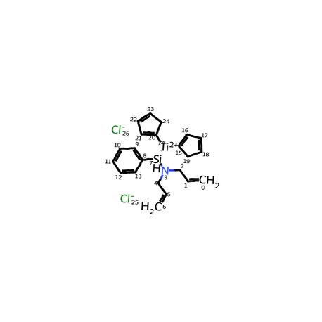 C=CCN(CC=C)[SiH](c1ccccc1)[Ti+2]([C]1=CC=CC1)[C]1=CC=CC1.[Cl-].[Cl-]